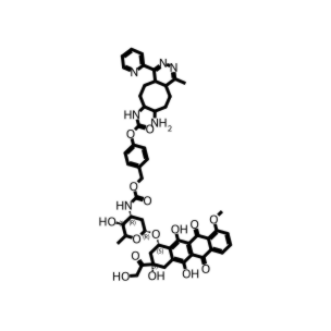 COc1cccc2c1C(=O)c1c(O)c3c(c(O)c1C2=O)C[C@@](O)(C(=O)CO)C[C@@H]3O[C@H]1C[C@@H](NC(=O)OCc2ccc(OC(=O)NC3CCC4C(c5ccccn5)=NN=C(C)C4CCC3N)cc2)[C@H](O)C(C)O1